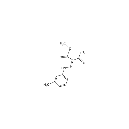 COC(=O)C(=NNc1cccc(C)c1)C(C)=O